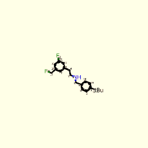 CC(C)(C)c1ccc(CNCCc2cc(F)cc(CF)c2)cc1